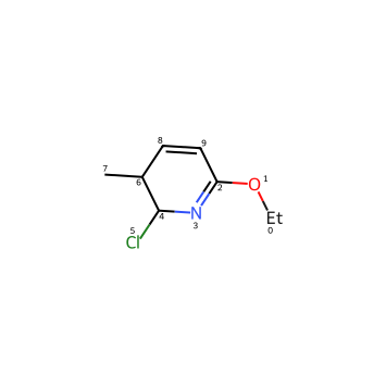 CCOC1=NC(Cl)C(C)C=C1